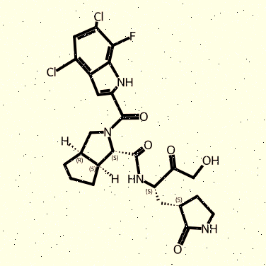 O=C1NCC[C@H]1C[C@H](NC(=O)[C@@H]1[C@H]2CCC[C@H]2CN1C(=O)c1cc2c(Cl)cc(Cl)c(F)c2[nH]1)C(=O)CO